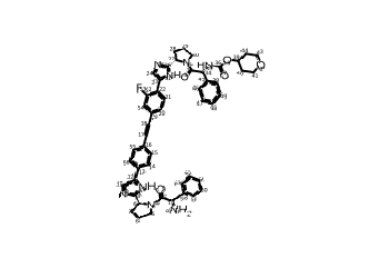 N[C@@H](C(=O)N1CCC[C@H]1c1ncc(-c2ccc(C#Cc3ccc(-c4cnc([C@@H]5CCCN5C(=O)[C@H](NC(=O)OC5CCOCC5)c5ccccc5)[nH]4)c(F)c3)cc2)[nH]1)c1ccccc1